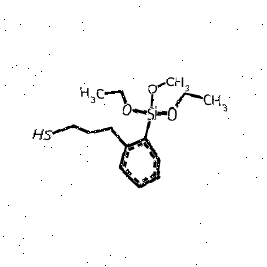 CCO[Si](OC)(OCC)c1ccccc1CCCS